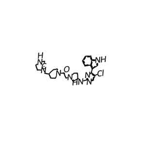 O=C(CN1CCC(Nc2ncc(Cl)c(-c3c[nH]c4ccccc34)n2)C1)N1CCC(CN2CCNCC2)CC1